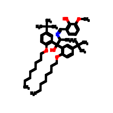 CCCCCCCCOc1ccc(C(C)(C)C)cc1C(O)(c1cc(C(C)(C)C)ccc1OCCCCCCCC)C(C)N=Cc1cccc(OC)c1O